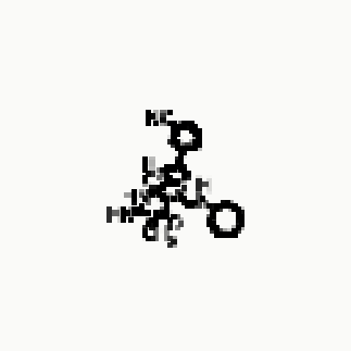 CN1C(=N)N[C@](C)(c2cc(-c3cccc(C#N)c3)cs2)[C@@H](CCNC2CCCCCC2)C1=O